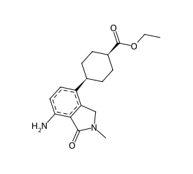 CCOC(=O)[C@H]1CC[C@@H](c2ccc(N)c3c2CN(C)C3=O)CC1